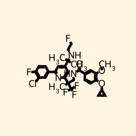 COc1cc(C(=O)NCC(C)(c2cc(C(C)(C)NCCF)cc(-c3ccc(F)c(Cl)c3)n2)C(F)(F)F)ccc1OC1CC1